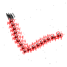 O=[Si](O)O.O=[Si](O)O.O=[Si](O)O.O=[Si](O)O.O=[Si](O)O.O=[Si](O)O.O=[Si](O)O.O=[Si](O)O.O=[Si](O)O.O=[Si](O)O.O=[Si](O)O.O=[Si](O)O.O=[Si](O)O.O=[Si](O)O.O=[Si](O)O.O=[Si]([O-])[O-].O=[Si]([O-])[O-].[Na+].[Na+].[Na+].[Na+]